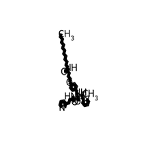 CCCCCCCCCCCCNC(=O)CCCOc1ccc(NC(NC(=O)CCc2cccnc2)C(=O)N(CC)c2ccccn2)cc1